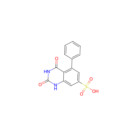 O=c1[nH]c(=O)c2c(-c3ccccc3)cc(S(=O)(=O)O)cc2[nH]1